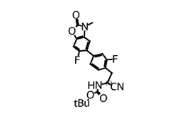 Cn1c(=O)oc2cc(F)c(-c3ccc(C[C@@H](C#N)NC(=O)OC(C)(C)C)c(F)c3)cc21